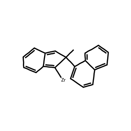 CC1(c2cccc3ccccc23)C=c2ccccc2=[C]1[Zr]